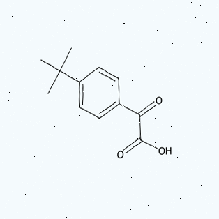 CC(C)(C)c1ccc(C(=O)C(=O)O)cc1